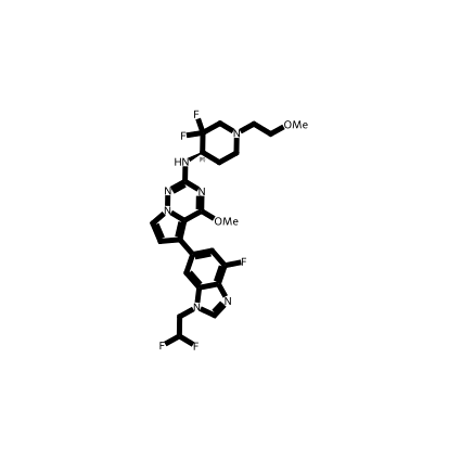 COCCN1CC[C@@H](Nc2nc(OC)c3c(-c4cc(F)c5ncn(CC(F)F)c5c4)ccn3n2)C(F)(F)C1